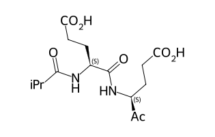 CC(=O)[C@H](CCC(=O)O)NC(=O)[C@H](CCC(=O)O)NC(=O)C(C)C